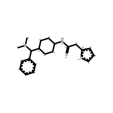 CN(C)C(c1ccccc1)C1CCC(NC(=O)Cc2cccs2)CC1